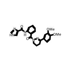 COc1ccc(C2=NN(C(=O)c3ccccc3NC(=O)c3c[nH]cn3)CCC2)cc1OC